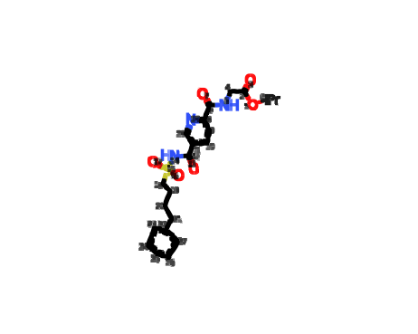 CC(C)OC(=O)CNC(=O)c1ccc(C(=O)NS(=O)(=O)CCCCc2ccccc2)cn1